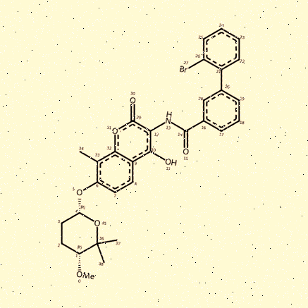 CO[C@@H]1CC[C@H](Oc2ccc3c(O)c(NC(=O)c4cccc(-c5ccccc5Br)c4)c(=O)oc3c2C)OC1(C)C